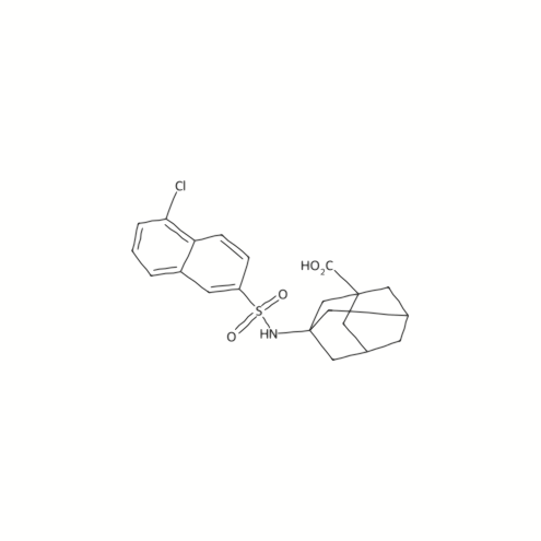 O=C(O)C12CC3CC(CC(NS(=O)(=O)c4ccc5c(Cl)cccc5c4)(C3)C1)C2